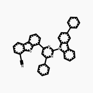 N#Cc1cccc2c1sc1c(-c3cc(-c4ccccc4)nc(-n4c5ccccc5c5cc(-c6ccccc6)ccc54)n3)cccc12